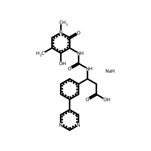 Cc1cn(C)c(=O)c(NC(=O)NC(CC(=O)O)c2cccc(-c3cncnc3)c2)c1O.[NaH]